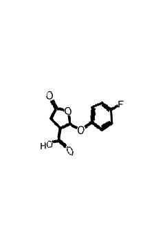 O=C1CC(C(=O)O)C(Oc2ccc(F)cc2)O1